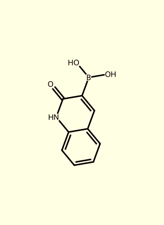 O=c1[nH]c2ccccc2cc1B(O)O